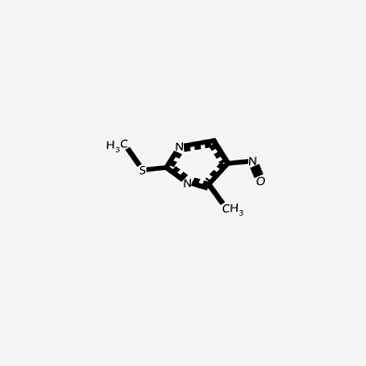 CSc1ncc(N=O)c(C)n1